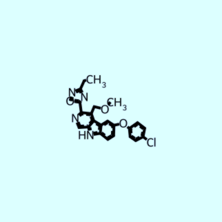 CCc1noc(-c2ncc3[nH]c4ccc(Oc5ccc(Cl)cc5)cc4c3c2COC)n1